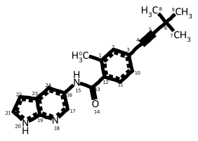 Cc1cc(C#CC(C)(C)C)ccc1C(=O)Nc1cnc2[nH]ccc2c1